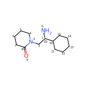 N[C@H](CN1CCCCC1=O)C1CCCCC1